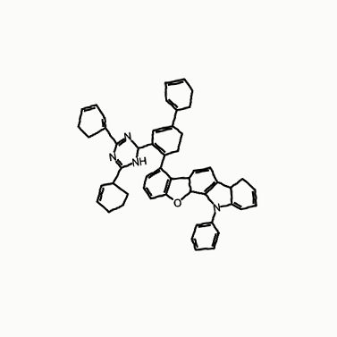 C1=CCCC(C2=CC(C3N=C(C4=CC=CCC4)N=C(C4C=CCCC4)N3)=C(c3cccc4c3C3C=CC5=C(C3O4)N(c3ccccc3)C3=CC=CCC35)CC2)=C1